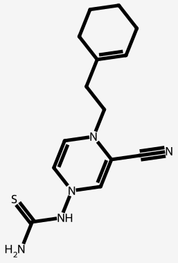 N#CC1=CN(NC(N)=S)C=CN1CCC1=CCCCC1